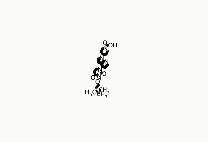 C[Si](C)(C)CCOCN1C(=O)CCN(c2ccnc3c2ccn3C2CCN(C(=O)O)CC2)C1=O